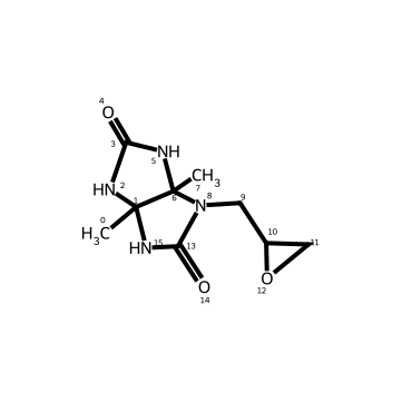 CC12NC(=O)NC1(C)N(CC1CO1)C(=O)N2